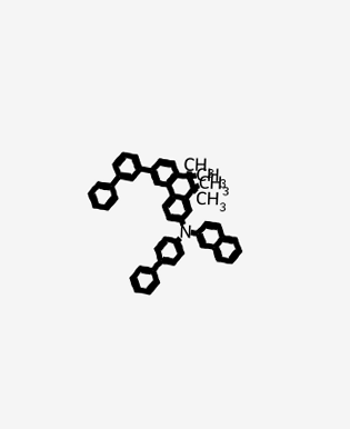 CC1(C)c2ccc(-c3cccc(-c4ccccc4)c3)cc2-c2ccc(N(c3ccc(-c4ccccc4)cc3)c3ccc4ccccc4c3)cc2C1(C)C